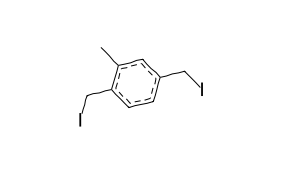 Cc1cc(CI)ccc1CI